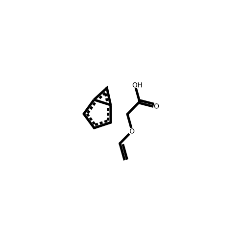 C=COCC(=O)O.c1cc2cc-2c1